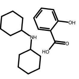 C1CCC(NC2CCCCC2)CC1.O=C(O)c1ccccc1O